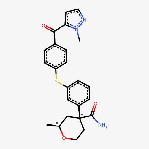 C[C@H]1C[C@@](C(N)=O)(c2cccc(Sc3ccc(C(=O)c4ccnn4C)cc3)c2)CCO1